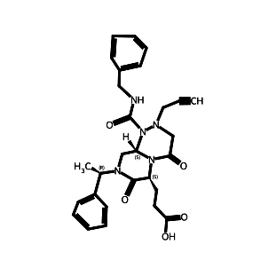 C#CCN1CC(=O)N2[C@@H](CCC(=O)O)C(=O)N([C@H](C)c3ccccc3)C[C@@H]2N1C(=O)NCc1ccccc1